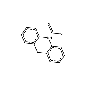 S=CS.c1ccc2c(c1)Cc1ccccc1N2